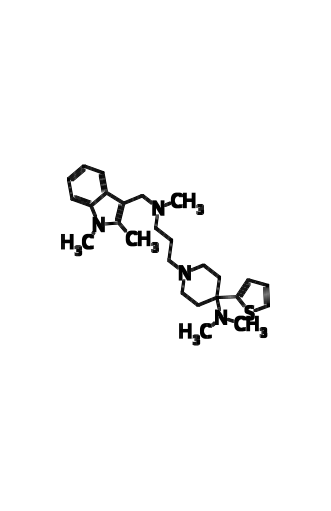 Cc1c(CN(C)CCCN2CCC(c3cccs3)(N(C)C)CC2)c2ccccc2n1C